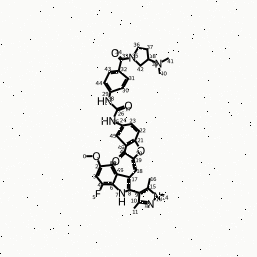 COc1cc(F)c2[nH]c(-c3c(C)nn(C)c3C)c(C=C3Oc4ccc(NC(=O)Nc5ccc(C(=O)N6CCC(N(C)C)C6)cc5)cc4C3=O)c2c1